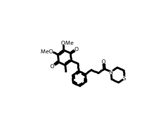 COC1=C(OC)C(=O)C(Cc2ccccc2CCC(=O)N2CCSCC2)=C(C)C1=O